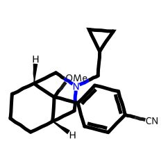 COC1(c2ccc(C#N)cc2)[C@@H]2CCC[C@H]1CN(CC1CC1)C2